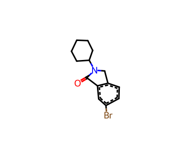 O=C1c2cc(Br)ccc2CN1C1CCCCC1